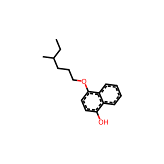 CCC(C)CCCOc1ccc(O)c2ccccc12